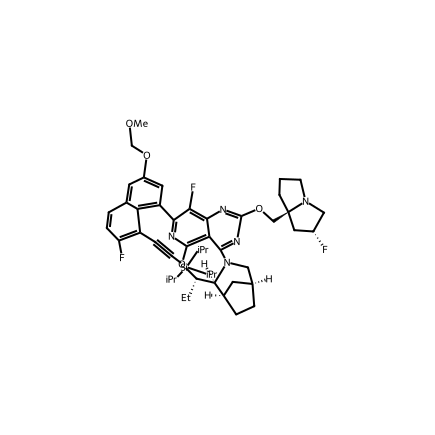 CC[C@@H]1Oc2nc(-c3cc(OCOC)cc4ccc(F)c(C#C[Si](C(C)C)(C(C)C)C(C)C)c34)c(F)c3nc(OC[C@@]45CCCN4C[C@H](F)C5)nc(c23)N2C[C@H]3CC[C@H](C3)[C@@H]12